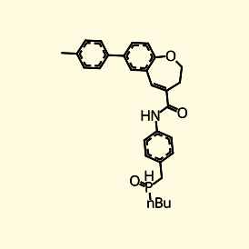 CCCC[PH](=O)Cc1ccc(NC(=O)C2=Cc3cc(-c4ccc(C)cc4)ccc3OCC2)cc1